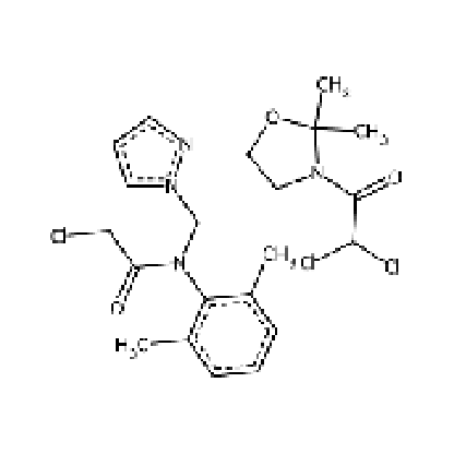 CC1(C)OCCN1C(=O)C(Cl)Cl.Cc1cccc(C)c1N(Cn1cccn1)C(=O)CCl